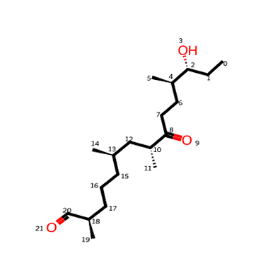 CC[C@@H](O)[C@H](C)CCC(=O)[C@H](C)C[C@H](C)CCC[C@@H](C)C=O